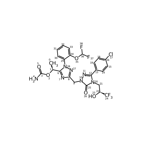 C[C@H](OC(N)=O)c1nc(Cn2nc(-c3ccc(Cl)cc3)n(C[C@H](O)C(F)(F)F)c2=O)nn1-c1ccccc1OC(F)F